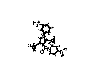 CN(C)C1CCN(C(=O)c2c(C3CC3)nn(-c3cccc(C(F)(F)F)c3)c2C2CC2)CC1